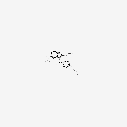 CCCCc1oc2ccc(N(C)S(C)(=O)=O)cc2c1C(=O)c1ccc(OCCCN)cc1